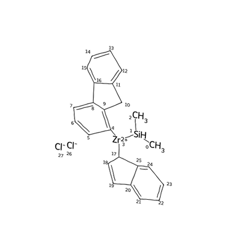 C[SiH](C)[Zr+2]([c]1cccc2c1Cc1ccccc1-2)[CH]1C=Cc2ccccc21.[Cl-].[Cl-]